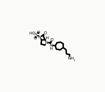 NCCCC1CCCC(NC(=O)N2CCC3[C@H]2C(=O)N3S(=O)(=O)O)CC1